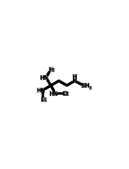 CCNC(CCN[SiH3])(NCC)NCC